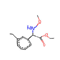 CONC(C(=O)OC)c1cccc(C)c1